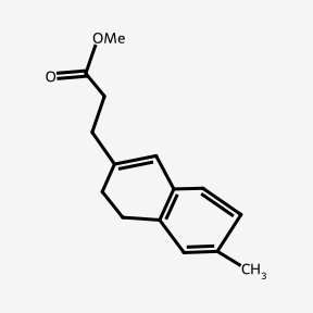 COC(=O)CCC1=Cc2ccc(C)cc2CC1